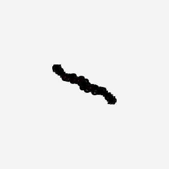 O=C(Oc1ccc(C(=O)OC2COC3C(OC(=O)c4ccc(OC(=O)c5ccc(OCCCCOCC6CC=CCC6)cc5)cc4)COC23)cc1)c1ccc(OCCCCOCC2CC=CCC2)cc1